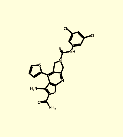 NC(=O)c1sc2nc3c(c(-c4cccs4)c2c1N)CN(C(=S)Nc1cc(Cl)cc(Cl)c1)C3